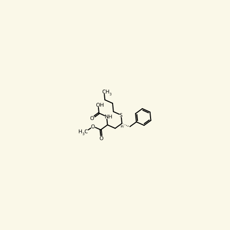 CCCCS[C@H](Cc1ccccc1)CC(NC(=O)O)C(=O)OC